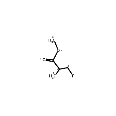 COC(=O)[C](C)CF